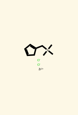 C[Si](C)(C)CC1=CC=CC1.[Cl-].[Cl-].[Zr+2]